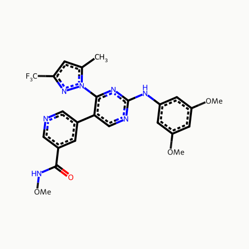 CONC(=O)c1cncc(-c2cnc(Nc3cc(OC)cc(OC)c3)nc2-n2nc(C(F)(F)F)cc2C)c1